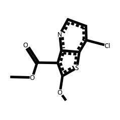 COC(=O)c1c(OC)sc2c(Cl)ccnc12